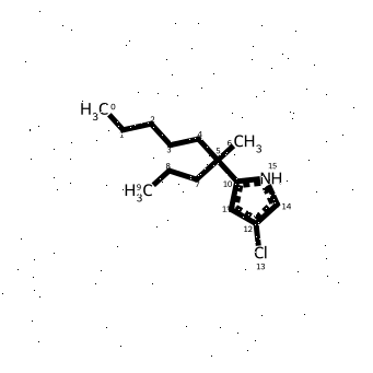 CCCCCC(C)(CCC)c1cc(Cl)c[nH]1